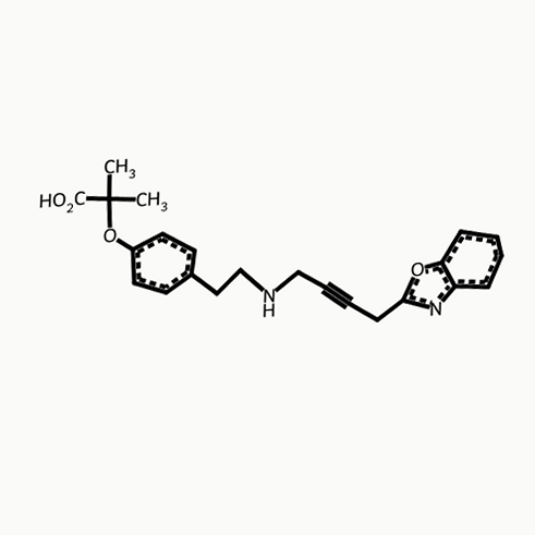 CC(C)(Oc1ccc(CCNCC#CCc2nc3ccccc3o2)cc1)C(=O)O